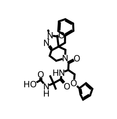 CN1N=C2CCN(C(=O)C(COc3ccccc3)NC(=O)C(C)(C)NC(=O)O)CC2(Cc2ccccc2)C1=O